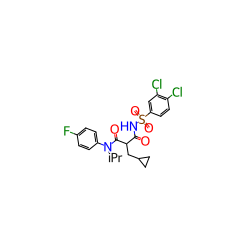 CC(C)N(C(=O)C(CC1CC1)C(=O)NS(=O)(=O)c1ccc(Cl)c(Cl)c1)c1ccc(F)cc1